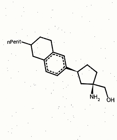 CCCCCC1CCc2cc([C@H]3CC[C@](N)(CO)C3)ccc2C1